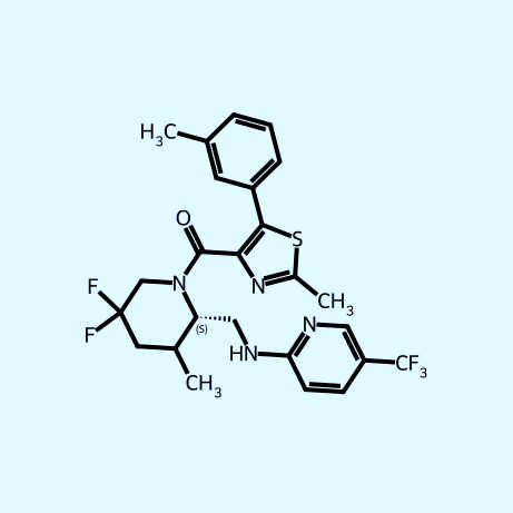 Cc1cccc(-c2sc(C)nc2C(=O)N2CC(F)(F)CC(C)[C@H]2CNc2ccc(C(F)(F)F)cn2)c1